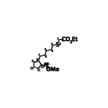 CCOC(=O)CSCCCCCC1=CCCC1=NOC